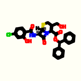 O=C(OC(c1ccccc1)c1ccccc1)C1=C(CO)CS[C@H]2[C@@H](NC(=O)c3ccc(Cl)cc3O)C(=O)N12